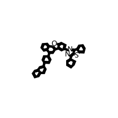 c1ccc(-c2nc(-c3ccc4oc5c6ccccc6c(-c6ccc(-c7ccc8ccccc8c7)cc6)cc5c4c3)nc3c2sc2ccccc23)cc1